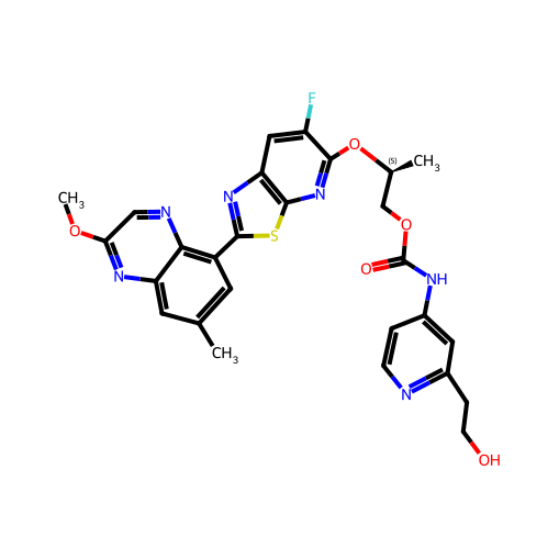 COc1cnc2c(-c3nc4cc(F)c(O[C@@H](C)COC(=O)Nc5ccnc(CCO)c5)nc4s3)cc(C)cc2n1